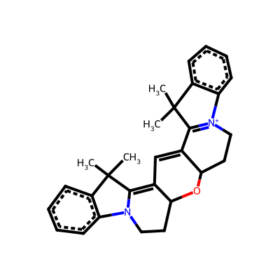 CC1(C)C2=C3C=C4C5=[N+](CCC4OC3CCN2c2ccccc21)c1ccccc1C5(C)C